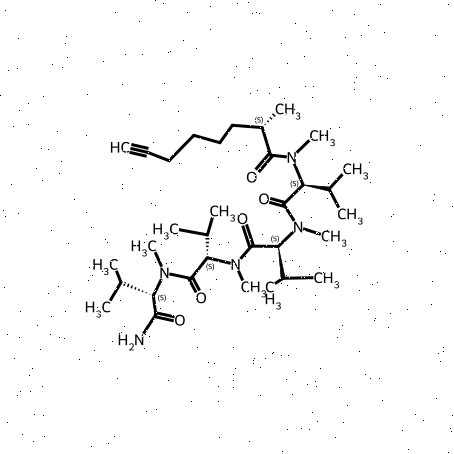 C#CCCCC[C@H](C)C(=O)N(C)[C@H](C(=O)N(C)[C@H](C(=O)N(C)[C@H](C(=O)N(C)[C@H](C(N)=O)C(C)C)C(C)C)C(C)C)C(C)C